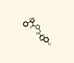 O=C(c1cnoc1-c1ccccc1)N1CCC(CNc2cnc3cc(Cl)ccc3n2)C1